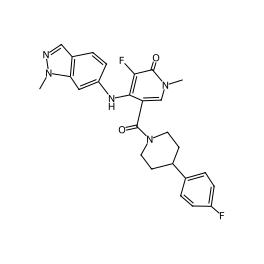 Cn1cc(C(=O)N2CCC(c3ccc(F)cc3)CC2)c(Nc2ccc3cnn(C)c3c2)c(F)c1=O